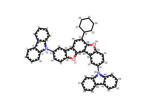 c1ccc2c(c1)c1ccccc1n2-c1ccc2oc3c(cc(C4CCCCC4)c4oc5ccc(-n6c7ccccc7c7ccccc76)cc5c43)c2c1